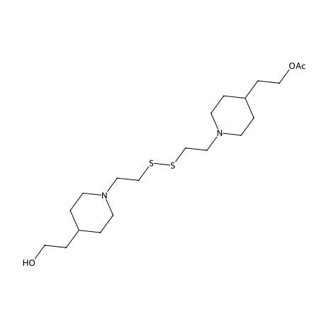 CC(=O)OCCC1CCN(CCSSCCN2CCC(CCO)CC2)CC1